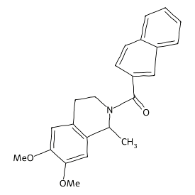 COc1cc2c(cc1OC)C(C)N(C(=O)c1ccc3ccccc3c1)CC2